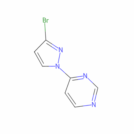 Brc1ccn(-c2ccncn2)n1